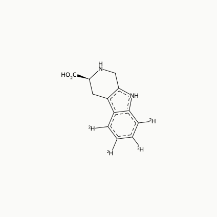 [2H]c1c([2H])c([2H])c2c3c([nH]c2c1[2H])CN[C@H](C(=O)O)C3